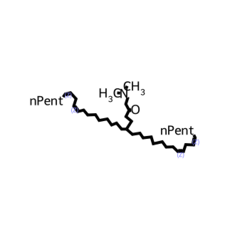 CCCCC/C=C\C/C=C\CCCCCCCCC(CCCCCCCC/C=C\C/C=C\CCCCC)CCC(=O)CCN(C)C